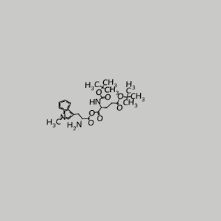 Cn1cc(C[C@@H](N)C(=O)OC(=O)[C@H](CCC(=O)OC(C)(C)C)NC(=O)OC(C)(C)C)c2ccccc21